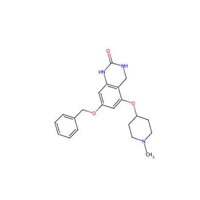 CN1CCC(Oc2cc(OCc3ccccc3)cc3c2CNC(=O)N3)CC1